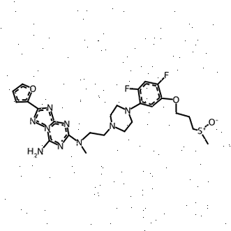 CN(CCN1CCN(c2cc(OCCC[S+](C)[O-])c(F)cc2F)CC1)c1nc(N)n2nc(-c3ccco3)nc2n1